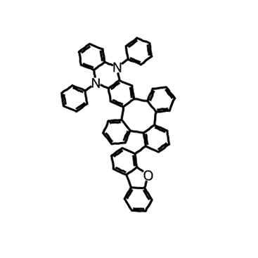 c1ccc(-n2c3ccccc3n(-c3ccccc3)c3cc4c(cc32)c2ccccc2c2cccc(-c3cccc5c3oc3ccccc35)c2c2ccccc42)cc1